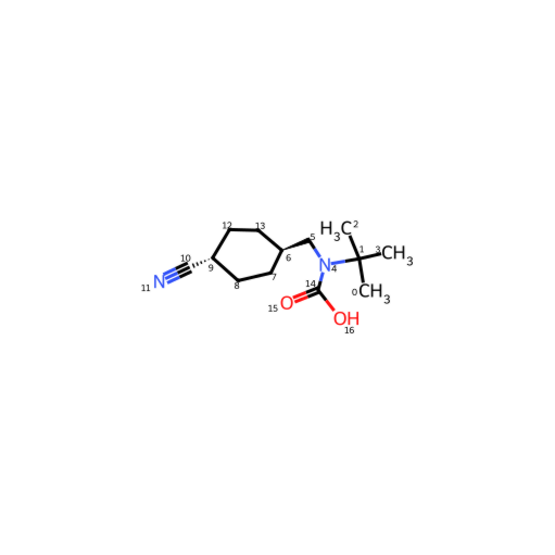 CC(C)(C)N(C[C@H]1CC[C@H](C#N)CC1)C(=O)O